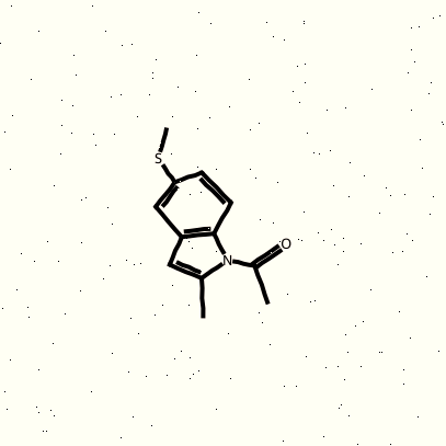 CSc1ccc2c(c1)cc(C)n2C(C)=O